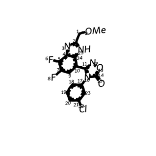 COCc1nc2c(F)c(F)cc(-c3noc(=O)n3-c3cccc(Cl)c3)c2[nH]1